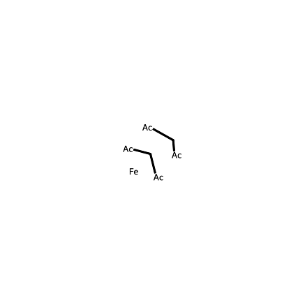 CC(=O)CC(C)=O.CC(=O)CC(C)=O.[Fe]